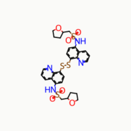 O=S(=O)(CC1CCCO1)Nc1ccc(SSc2ccc(NS(=O)(=O)CC3CCCO3)c3cccnc23)c2ncccc12